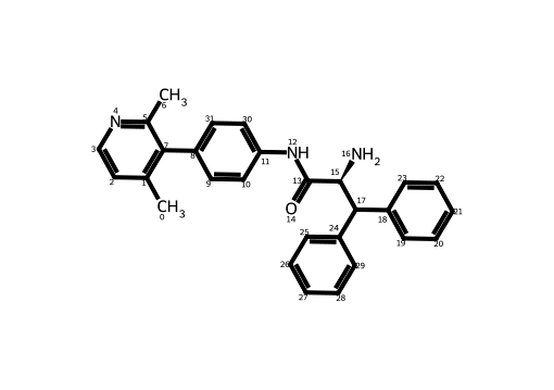 Cc1ccnc(C)c1-c1ccc(NC(=O)[C@@H](N)C(c2ccccc2)c2ccccc2)cc1